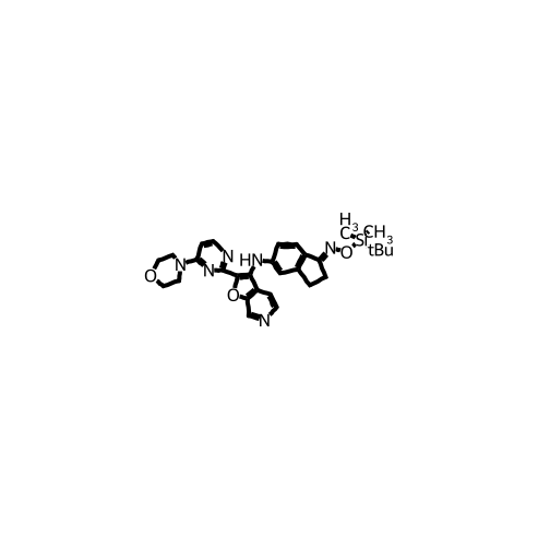 CC(C)(C)[Si](C)(C)ON=C1CCc2cc(Nc3c(-c4nccc(N5CCOCC5)n4)oc4cnccc34)ccc21